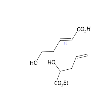 C=CCC(O)C(=O)OCC.O=C(O)/C=C/CCO